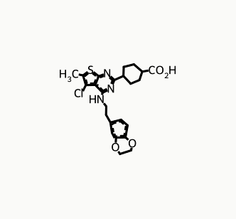 Cc1sc2nc(C3CCC(C(=O)O)CC3)nc(NCCc3ccc4c(c3)OCCO4)c2c1Cl